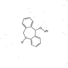 CCCOC1c2ccccc2C[S+]([O-])c2ccccc21